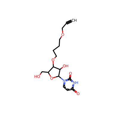 C#CCOCCCCOC1C(CO)OC(n2ccc(=O)[nH]c2=O)C1O